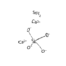 [Ca+2].[Ca+2].[O-][Si]([O-])([O-])[O-].[SrH2]